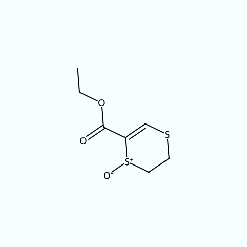 CCOC(=O)C1=CSCC[S+]1[O-]